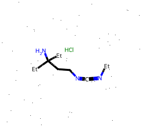 CCN=C=NCCC(N)(CC)CC.Cl